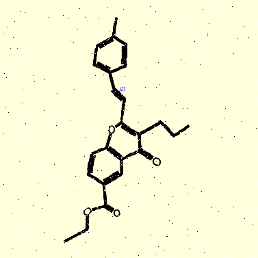 CCCc1c(/C=C/c2ccc(C)cc2)oc2ccc(C(=O)OCC)cc2c1=O